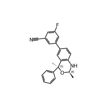 C[C@@H]1Nc2ccc(-c3cc(F)cc(C#N)c3)cc2[C@](C)(c2ccccc2)O1